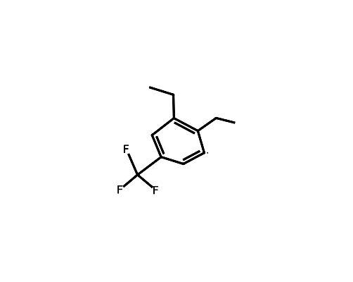 CCc1[c]cc(C(F)(F)F)cc1CC